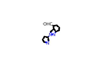 O=[C]c1cccc2nn(-c3cccnc3)cc12